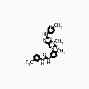 Cc1ccc(Nc2ncc3c(n2)N(C)C(=O)N(c2cc(NC(=O)Nc4cccc(C(F)(F)F)c4)ccc2C)C3)cn1